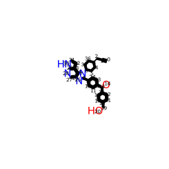 C#CC[C@H]1CC[C@H](n2c(-c3ccc(C(=O)c4ccc(CO)cc4)cc3)nc3cnc4[nH]ccc4c32)CC1